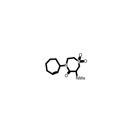 CNC1CS(=O)(=O)CCN(C2C=CCCCC2)C1=O